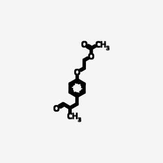 CC(=O)OCCOc1ccc(CC(C)C=O)cc1